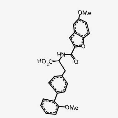 COc1ccc2oc(C(=O)N[C@@H](Cc3ccc(-c4ccccc4OC)cc3)C(=O)O)cc2c1